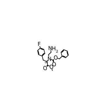 COC(=O)[C@@H](Cc1ccc(F)cc1)N(CCN)C(=O)OCc1ccccc1